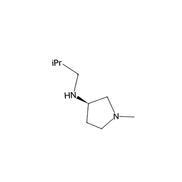 CC(C)CN[C@@H]1CCN(C)C1